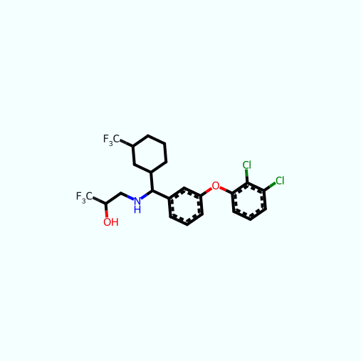 OC(CNC(c1cccc(Oc2cccc(Cl)c2Cl)c1)C1CCCC(C(F)(F)F)C1)C(F)(F)F